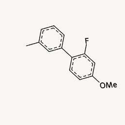 COc1ccc(-c2cccc(C)c2)c(F)c1